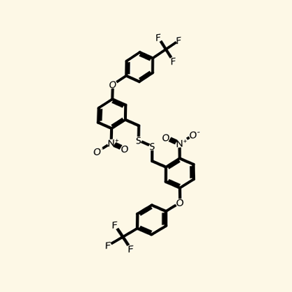 O=[N+]([O-])c1ccc(Oc2ccc(C(F)(F)F)cc2)cc1CSSCc1cc(Oc2ccc(C(F)(F)F)cc2)ccc1[N+](=O)[O-]